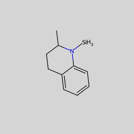 CC1CCc2ccccc2N1[SiH3]